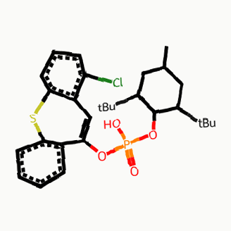 CC1CC(C(C)(C)C)C(OP(=O)(O)OC2=Cc3c(Cl)cccc3Sc3ccccc32)C(C(C)(C)C)C1